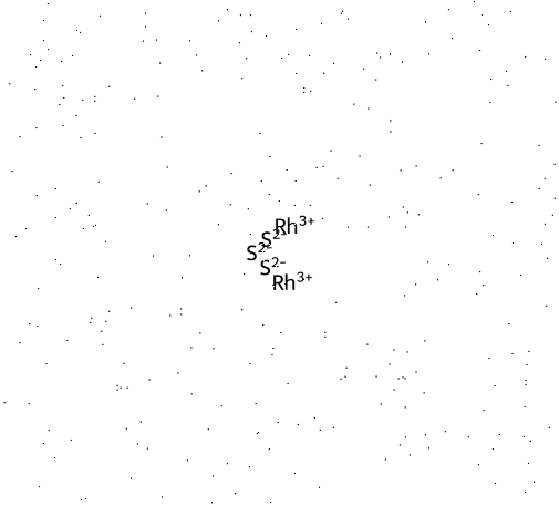 [Rh+3].[Rh+3].[S-2].[S-2].[S-2]